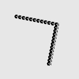 c1ccncc1.c1ccncc1.c1ccncc1.c1ccncc1.c1ccncc1.c1ccncc1.c1ccncc1.c1ccncc1.c1ccncc1.c1ccncc1.c1ccncc1.c1ccncc1.c1ccncc1.c1ccncc1.c1ccncc1.c1ccncc1.c1ccncc1.c1ccncc1.c1ccncc1.c1ccncc1.c1ccncc1.c1ccncc1.c1ccncc1.c1ccncc1